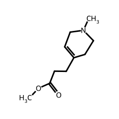 COC(=O)CCC1=CCN(C)CC1